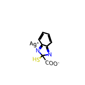 O=C([O-])C1(S)N=c2ccccc2=N1.[Ag+]